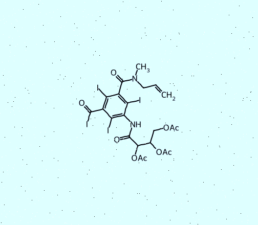 C=CCN(C)C(=O)c1c(I)c(NC(=O)C(OC(C)=O)C(COC(C)=O)OC(C)=O)c(I)c(C(=O)I)c1I